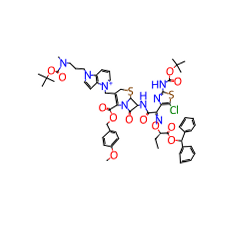 CC[C@@H](O/N=C(\C(=O)NC1C(=O)N2C(C(=O)OCc3ccc(OC)cc3)=C(C[n+]3cccc4c3ccn4CCCN(C)C(=O)OC(C)(C)C)CSC12)c1nc(NC(=O)OC(C)(C)C)sc1Cl)C(=O)OC(c1ccccc1)c1ccccc1